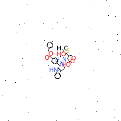 CSC(O)C(C=O)[C@H](N)C(=O)O.O=C(OCc1ccccc1)c1ccc(C2=NCCc3c2[nH]c2ccccc32)cc1